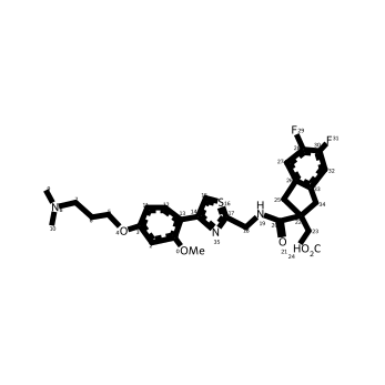 COc1cc(OCCCN(C)C)ccc1-c1csc(CNC(=O)C2(CC(=O)O)Cc3cc(F)c(F)cc3C2)n1